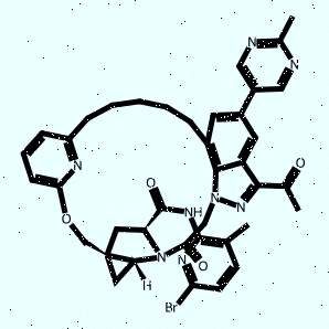 CC(=O)c1nn2c3c(cc(-c4cnc(C)nc4)cc13)CCCCCc1cccc(n1)OC[C@@]13C[C@@H](C(=O)Nc4nc(Br)ccc4C)N(C(=O)C2)[C@@H]1C3